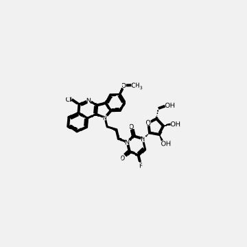 COc1ccc2c(c1)c1nc(Cl)c3ccccc3c1n2CCCn1c(=O)c(F)cn([C@@H]2O[C@H](CO)[C@@H](O)[C@H]2O)c1=O